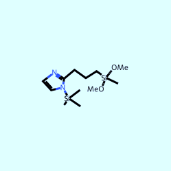 CO[Si](C)(CCCc1nccn1[Si](C)(C)C)OC